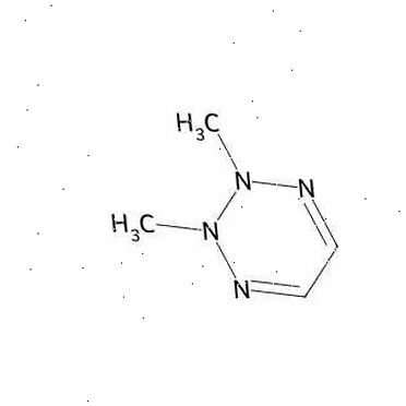 CN1N=CC=NN1C